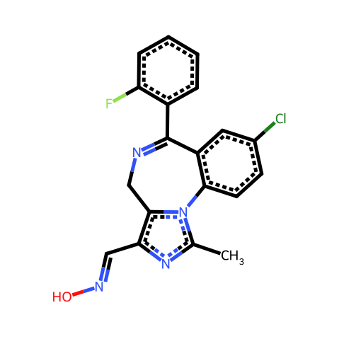 Cc1nc(C=NO)c2n1-c1ccc(Cl)cc1C(c1ccccc1F)=NC2